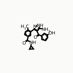 Cc1ccc(C(=O)NC2CC2)cc1-c1n[nH]c(N)c1C(=O)c1cccc(O)c1